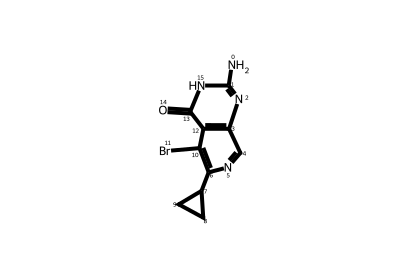 Nc1nc2cnc(C3CC3)c(Br)c2c(=O)[nH]1